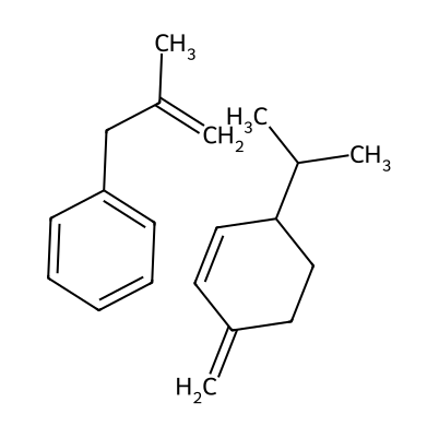 C=C(C)Cc1ccccc1.C=C1C=CC(C(C)C)CC1